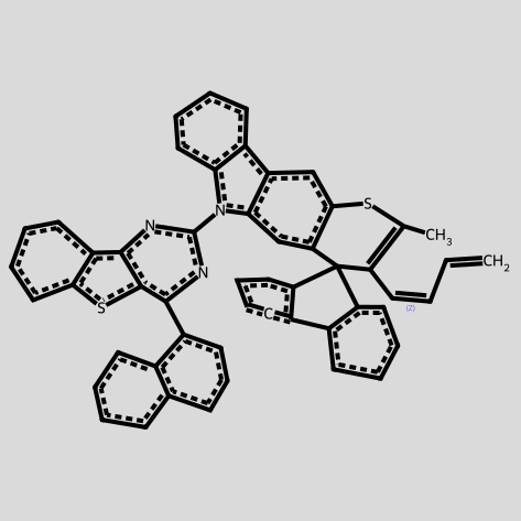 C=C/C=C\C1=C(C)Sc2cc3c4ccccc4n(-c4nc(-c5cccc6ccccc56)c5sc6ccccc6c5n4)c3cc2C12c1ccccc1-c1ccccc12